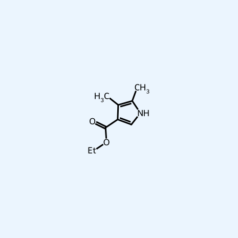 CCOC(=O)c1c[nH]c(C)c1C